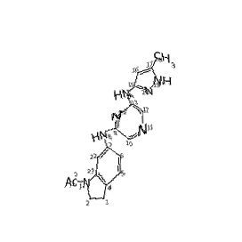 CC(=O)N1CCc2ccc(Nc3cncc(Nc4cc(C)[nH]n4)n3)cc21